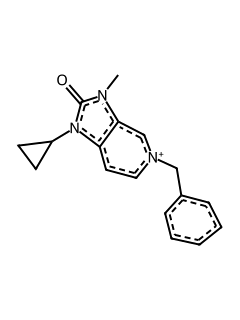 Cn1c(=O)n(C2CC2)c2cc[n+](Cc3ccccc3)cc21